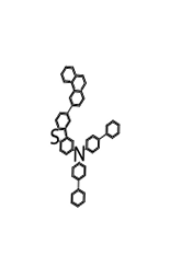 c1ccc(-c2ccc(N(c3ccc(-c4ccccc4)cc3)c3ccc4sc5ccc(-c6ccc7ccc8ccccc8c7c6)cc5c4c3)cc2)cc1